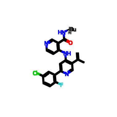 C=C(C)c1cnc(-c2cc(Cl)ccc2F)cc1Nc1ccncc1C(=O)N[C@H](C)CC